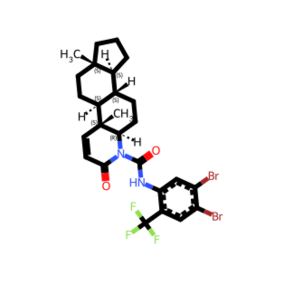 C[C@@]12CCC[C@H]1[C@@H]1CC[C@H]3N(C(=O)Nc4cc(Br)c(Br)cc4C(F)(F)F)C(=O)C=C[C@]3(C)[C@H]1CC2